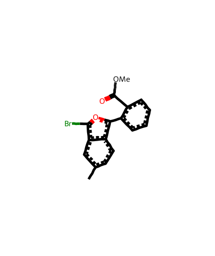 COC(=O)c1ccccc1-c1oc(Br)c2cc(C)ccc12